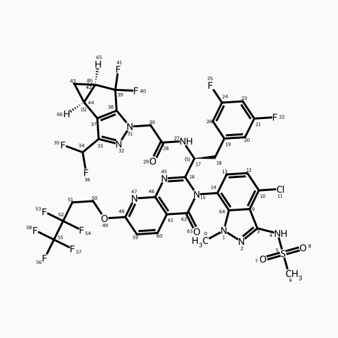 Cn1nc(NS(C)(=O)=O)c2c(Cl)ccc(-n3c([C@H](Cc4cc(F)cc(F)c4)NC(=O)Cn4nc(C(F)F)c5c4C(F)(F)[C@@H]4C[C@H]54)nc4nc(OCCC(F)(F)C(F)(F)F)ccc4c3=O)c21